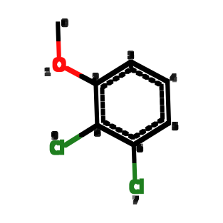 COc1[c]ccc(Cl)c1Cl